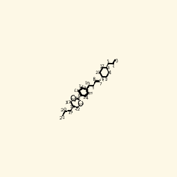 CCC[C@H]1CC[C@H](C=CCCc2ccc([C@H]3OC[C@H](CCC)CO3)cc2)CC1